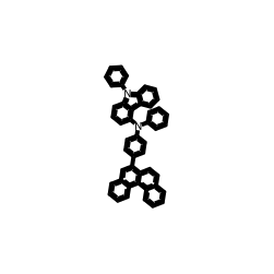 c1ccc(N(c2ccc(-c3cc4ccccc4c4c3ccc3ccccc34)cc2)c2cccc3c2c2ccccc2n3-c2ccccc2)cc1